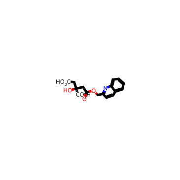 O=C(O)CC(O)(CC(=O)OCc1ccc2ccccc2n1)C(=O)O